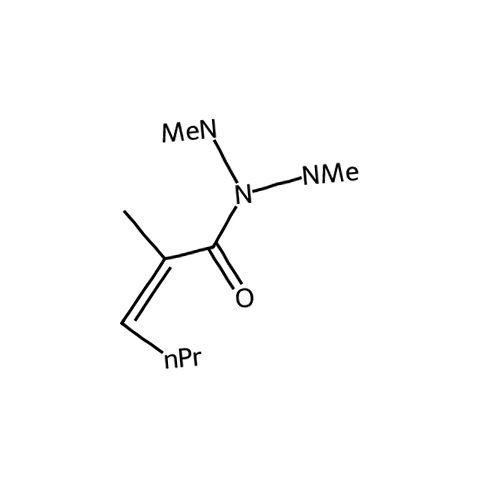 CCCC=C(C)C(=O)N(NC)NC